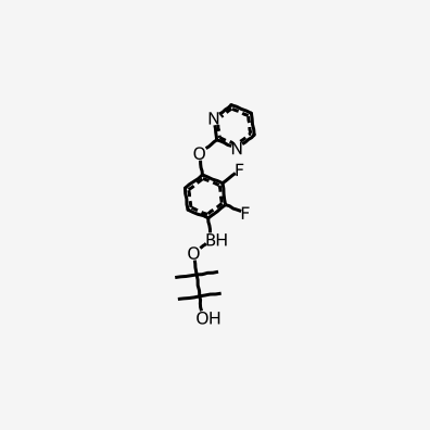 CC(C)(O)C(C)(C)OBc1ccc(Oc2ncccn2)c(F)c1F